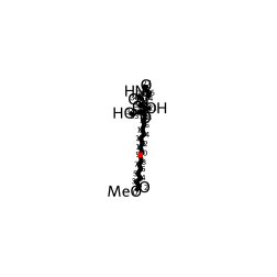 COC(=O)CCCCCCCCCCCCCCCOC1C(O)[C@H](n2ccc(=O)[nH]c2=O)O[C@@H]1CO